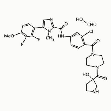 COc1ccc(-c2cnc(C(=O)Nc3ccc(C(=O)N4CCN(C(=O)C5(O)CCNC5)CC4)c(Cl)c3)n2C)c(F)c1F.O=CO